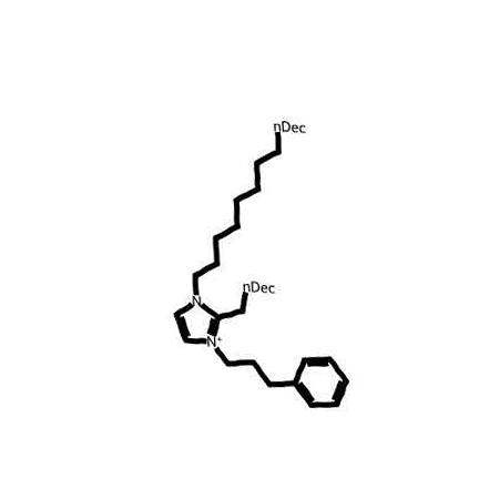 CCCCCCCCCCCCCCCCCCn1cc[n+](CCCc2ccccc2)c1CCCCCCCCCCC